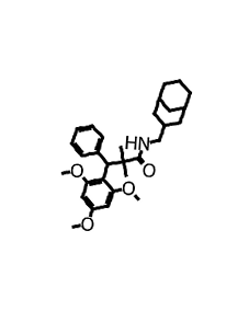 COc1cc(OC)c(C(c2ccccc2)C(C)(C)C(=O)NCC2CC3CCCC(C3)C2)c(OC)c1